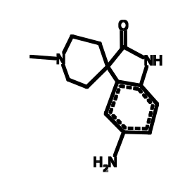 CN1CCC2(CC1)C(=O)Nc1ccc(N)cc12